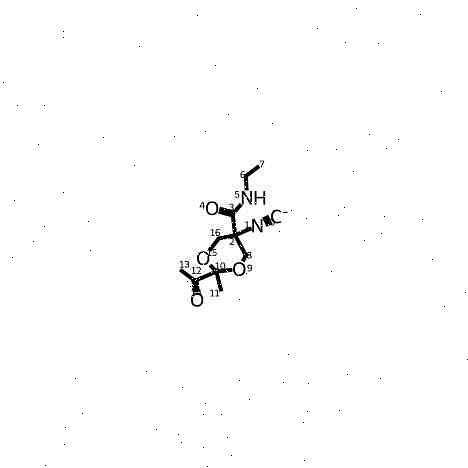 [C-]#[N+]C1(C(=O)NCC)COC(C)(C(C)=O)OC1